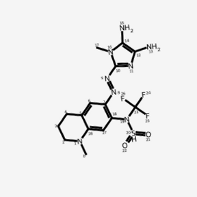 CN1CCCc2cc(N=Nc3nc(N)c(N)n3C)c(N([SH](=O)=O)C(F)(F)F)cc21